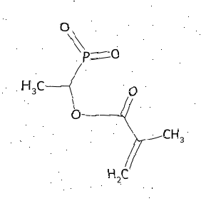 C=C(C)C(=O)OC(C)P(=O)=O